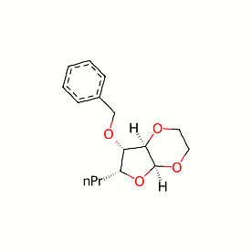 CCC[C@H]1O[C@@H]2OCCO[C@@H]2[C@H]1OCc1ccccc1